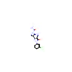 CCNC(=O)n1ncc2c3nn(-c4cccc(Cl)c4)c(=O)c-3c[nH]c21